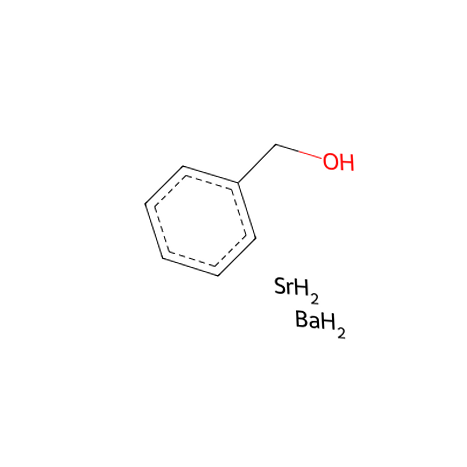 OCc1ccccc1.[BaH2].[SrH2]